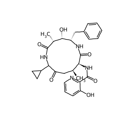 C[C@H]1CC(=O)C(C2CC2)NC(=O)[C@H](C)[C@H](O)[C@H](Cc2ccccc2)NC(=O)[C@H]1NC(=O)c1ncccc1O